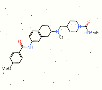 CCCNC(=O)N1CCC(CN(CC)C2CCc3ccc(NC(=O)c4ccc(OC)cc4)cc3C2)CC1